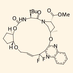 COC(=O)[C@@H]1C[C@]2(C)CN1C(=O)[C@H](C(C)(C)C)NC(=O)O[C@@H]1CCC[C@H]1OC/C=C/C(F)(F)c1nc3ccccc3nc1O2